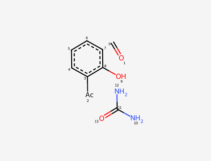 C=O.CC(=O)c1ccccc1O.NC(N)=O